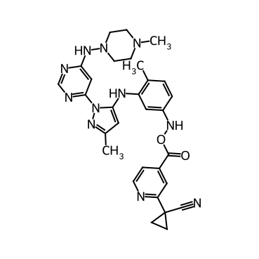 Cc1cc(Nc2cc(NOC(=O)c3ccnc(C4(C#N)CC4)c3)ccc2C)n(-c2cc(NN3CCN(C)CC3)ncn2)n1